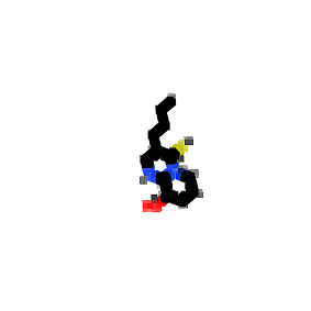 CCCCc1cnc2c(O)cccn2c1=S